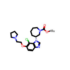 CC(C)(C)OC(=O)N1CCCC[C@@H](n2cnc3ccc(OCCN4CCCC4)c(Cl)c32)C1